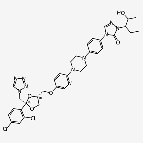 CCC(C(C)O)n1ncn(-c2ccc(N3CCN(c4ccc(OC[C@@H]5CO[C@@](Cn6cnnn6)(c6ccc(Cl)cc6Cl)O5)cn4)CC3)cc2)c1=O